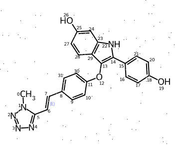 Cn1nnnc1/C=C/c1ccc(Oc2c(-c3ccc(O)cc3)[nH]c3cc(O)ccc23)cc1